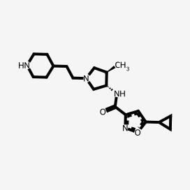 C[C@@H]1CN(CCC2CCNCC2)C[C@H]1NC(=O)c1cc(C2CC2)on1